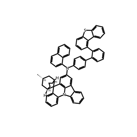 C[C@@H]1C[C@H]2CCC[C@@H](C1)C21c2ccccc2-n2c3ccccc3c3cc(N(c4ccc(-c5ccccc5-c5cccc6sc7ccccc7c56)cc4)c4cccc5ccccc45)cc1c32